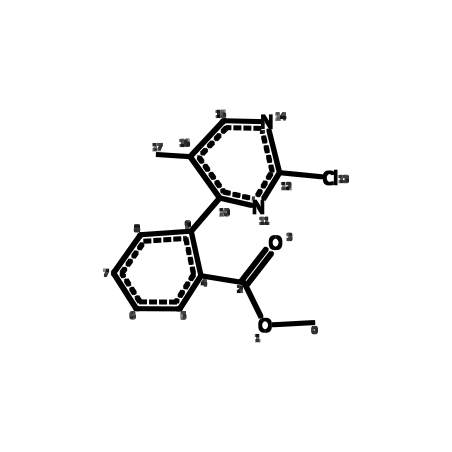 COC(=O)c1ccccc1-c1nc(Cl)ncc1C